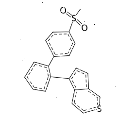 CS(=O)(=O)c1ccc(-c2ccccc2-c2ccc3csccc2-3)cc1